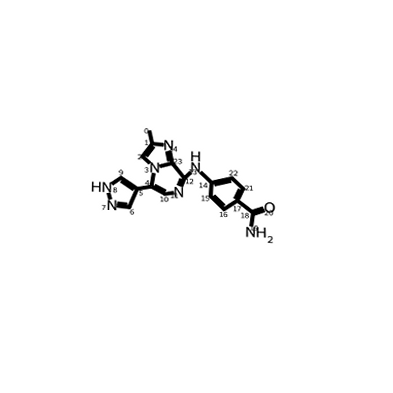 Cc1cn2c(-c3cn[nH]c3)cnc(Nc3ccc(C(N)=O)cc3)c2n1